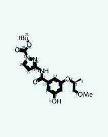 COC[C@H](C)Oc1cc(O)cc(C(=O)Nc2ccn(C(=O)OC(C)(C)C)n2)c1